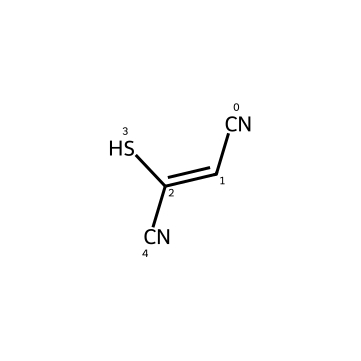 N#CC=C(S)C#N